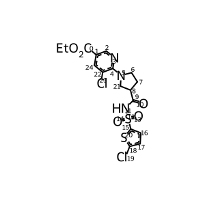 CCOC(=O)c1cnc(N2CCC(C(=O)NS(=O)(=O)c3ccc(Cl)s3)C2)c(Cl)c1